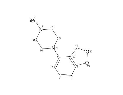 CC(C)N1CCN(c2cccc3c2COO3)CC1